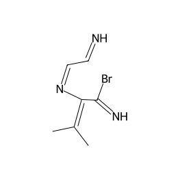 CC(C)=C(/N=C\C=N)C(=N)Br